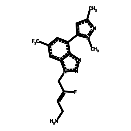 Cc1cc(-c2cc(C(F)(F)F)cc3c2nnn3C/C(F)=C/CN)n(C)n1